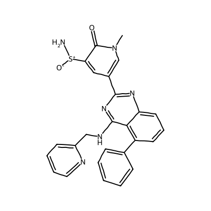 Cn1cc(-c2nc(NCc3ccccn3)c3c(-c4ccccc4)cccc3n2)cc([S+](N)[O-])c1=O